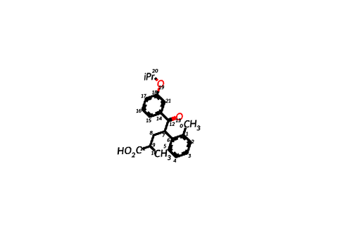 Cc1ccccc1C(CC(C)C(=O)O)C(=O)c1cccc(OC(C)C)c1